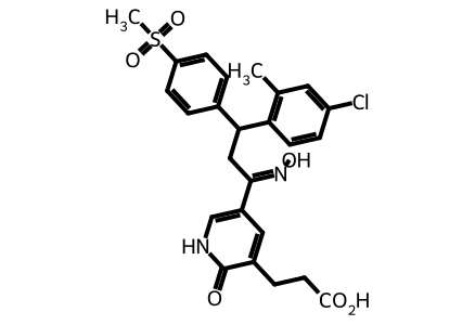 Cc1cc(Cl)ccc1C(C/C(=N\O)c1c[nH]c(=O)c(CCC(=O)O)c1)c1ccc(S(C)(=O)=O)cc1